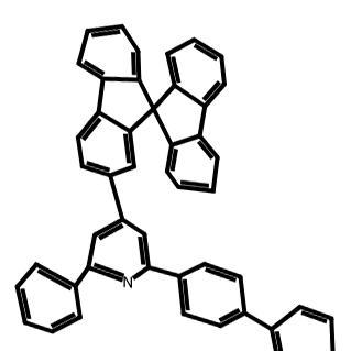 c1ccc(-c2ccc(-c3cc(-c4ccc5c(c4)C4(c6ccccc6-c6ccccc64)c4ccccc4-5)cc(-c4ccccc4)n3)cc2)cc1